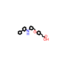 O=C(O)CCc1ccc(OCc2cccc(Nc3cccc(-c4ccccc4)c3)c2)cc1